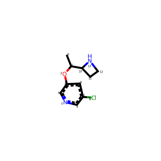 CC(Oc1cncc(Cl)c1)C1CCN1